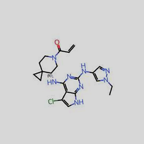 C=CC(=O)N1CCC2(CC2)[C@@H](Nc2nc(Nc3cnn(CC)c3)nc3[nH]cc(Cl)c23)C1